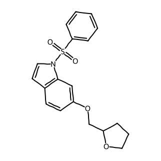 O=S(=O)(c1ccccc1)n1ccc2ccc(OCC3CCCO3)cc21